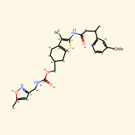 COc1cccc(C(C)CC(=O)Nc2sc3c(c2C#N)CCC(COC(=O)NCc2cc(C)on2)C3)c1